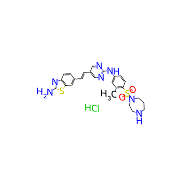 Cc1cc(Nc2ncc(/C=C/c3ccc4nc(N)sc4c3)cn2)ccc1S(=O)(=O)N1CCCNCC1.Cl